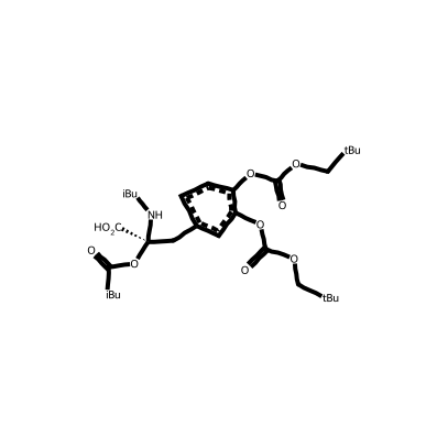 CCC(C)N[C@@](Cc1ccc(OC(=O)OCC(C)(C)C)c(OC(=O)OCC(C)(C)C)c1)(OC(=O)C(C)CC)C(=O)O